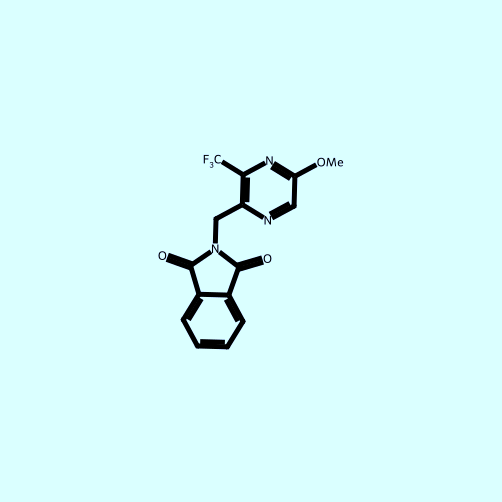 COc1cnc(CN2C(=O)c3ccccc3C2=O)c(C(F)(F)F)n1